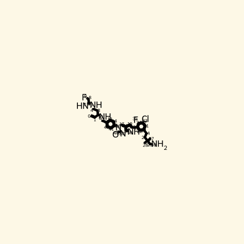 C=CC(CCNC(=N)CF)NCc1ccc(-n2cc3cc(-c4cc(CCC(C)(C)CN)cc(Cl)c4F)[nH]c3nc2=O)cc1